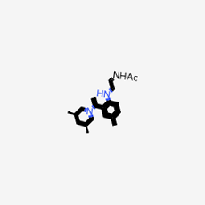 C=C(c1cc(C)ccc1NCCNC(C)=O)N1C[C@H](C)C[C@H](C)C1